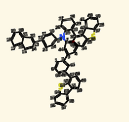 c1cc(-c2cccc(N(c3ccc(-c4ccc5ccccc5c4)cc3)c3ccccc3-c3cccc4sc5ccccc5c34)c2)cc(-c2cccc3c2sc2ccccc23)c1